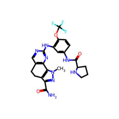 Cn1nc(C(N)=O)c2c1-c1nc(Nc3cc(NC(=O)C4CCCN4)ccc3OC(F)(F)F)ncc1CC2